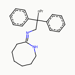 CCCC(CN=C1CCCCCCN1)(c1ccccc1)c1ccccc1